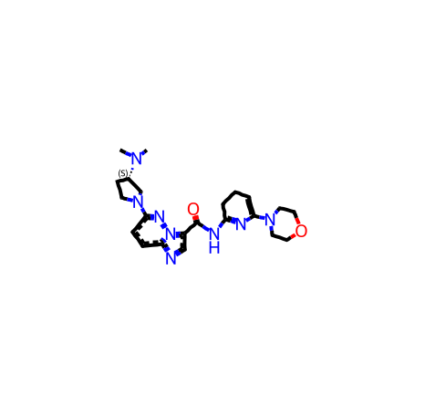 CN(C)[C@H]1CCN(c2ccc3ncc(C(=O)NC4=NC(N5CCOCC5)=CCC4)n3n2)C1